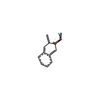 C=CC(=C)/C=c1/cccc/c1=C/C(=C)/C=C\C